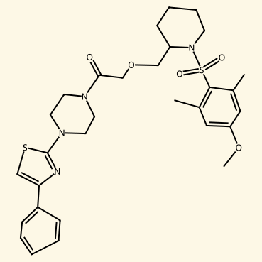 COc1cc(C)c(S(=O)(=O)N2CCCCC2COCC(=O)N2CCN(c3nc(-c4ccccc4)cs3)CC2)c(C)c1